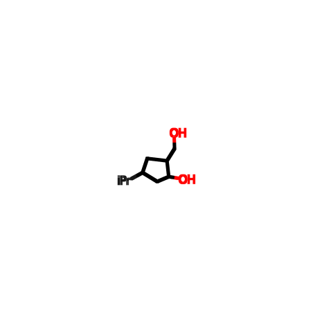 CC(C)C1CC(O)C(CO)C1